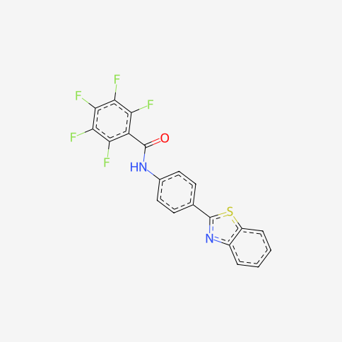 O=C(Nc1ccc(-c2nc3ccccc3s2)cc1)c1c(F)c(F)c(F)c(F)c1F